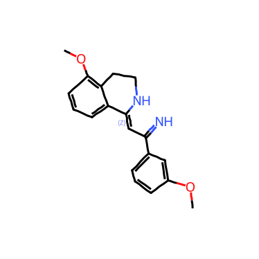 COc1cccc(C(=N)/C=C2\NCCc3c(OC)cccc32)c1